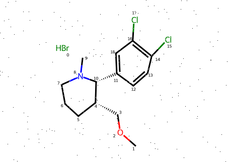 Br.COC[C@@H]1CCCN(C)[C@@H]1c1ccc(Cl)c(Cl)c1